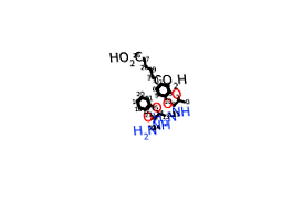 CC(Oc1ccccc1)C(=O)NN.CC(Oc1ccccc1)C(=O)NN.O=C(O)CCCCC(=O)O